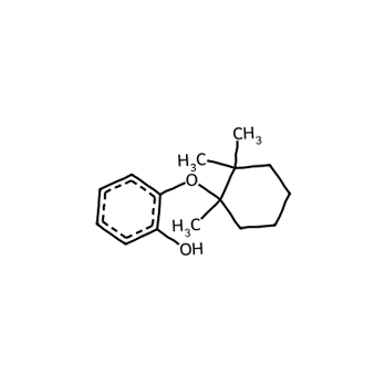 CC1(C)CCCCC1(C)Oc1ccccc1O